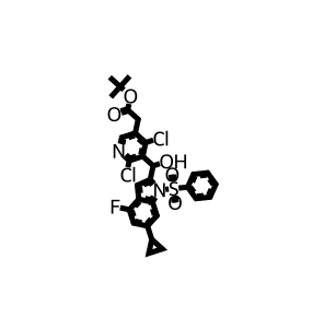 CC(C)(C)OC(=O)Cc1cnc(Cl)c(C(O)c2cc3c(F)cc(C4CC4)cc3n2S(=O)(=O)c2ccccc2)c1Cl